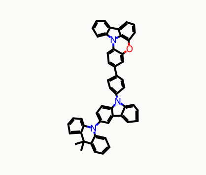 CC1(C)c2ccccc2N(c2ccc3c(c2)c2ccccc2n3-c2ccc(-c3ccc4c(c3)Oc3cccc5c6ccccc6n-4c35)cc2)c2ccccc21